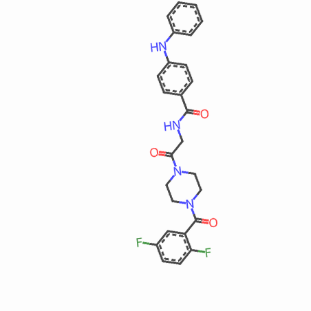 O=C(NCC(=O)N1CCN(C(=O)c2cc(F)ccc2F)CC1)c1ccc(Nc2ccccc2)cc1